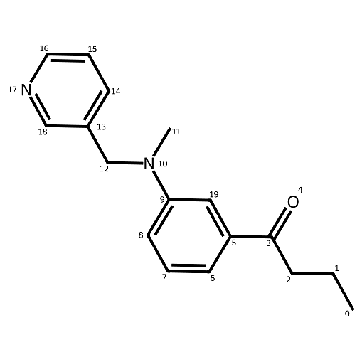 CCCC(=O)c1cccc(N(C)Cc2cccnc2)c1